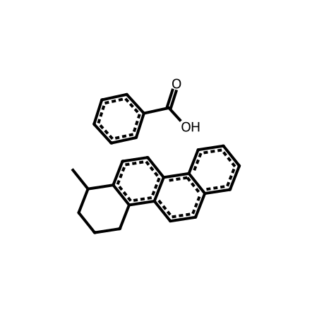 CC1CCCc2c1ccc1c2ccc2ccccc21.O=C(O)c1ccccc1